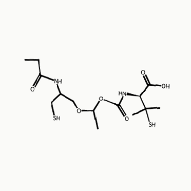 CCC(=O)NC(CS)COC(C)OC(=O)N[C@@H](C(=O)O)C(C)(C)S